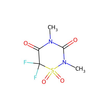 CN1C(=O)N(C)S(=O)(=O)C(F)(F)C1=O